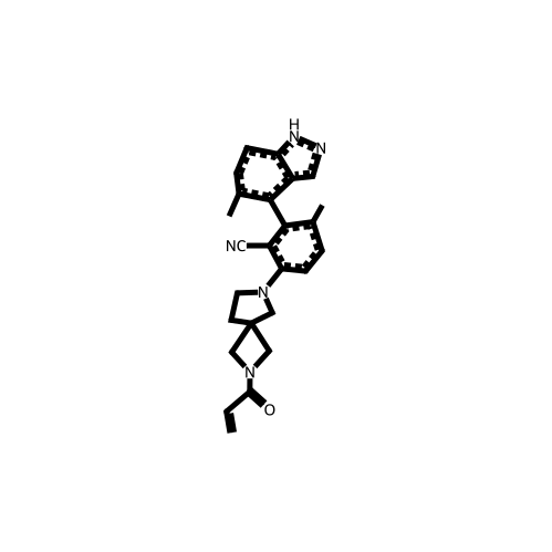 C=CC(=O)N1CC2(CCN(c3ccc(C)c(-c4c(C)ccc5[nH]ncc45)c3C#N)C2)C1